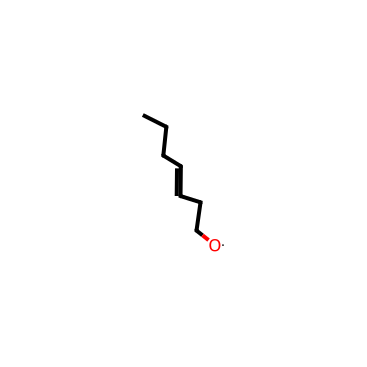 CCC/C=C/CC[O]